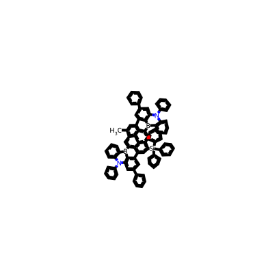 Cc1cc2c3c(cc4c([Si](c5ccccc5)(c5ccccc5)c5ccccc5)cc5c6c(cc1c3c46)B1c3ccccc3N(c3ccccc3)c3cc(-c4ccccc4)cc-5c31)B1c3ccccc3N(c3ccccc3)c3cc(-c4ccccc4)cc-2c31